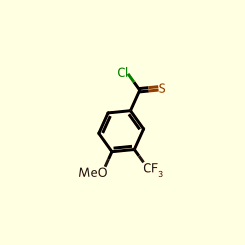 COc1ccc(C(=S)Cl)cc1C(F)(F)F